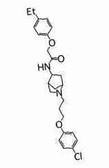 CCc1ccc(OCC(=O)NC2CC3CC2CN3CCCOc2ccc(Cl)cc2)cc1